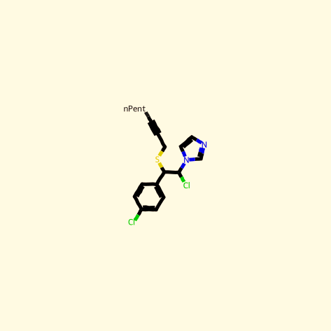 CCCCCC#CCSC(c1ccc(Cl)cc1)C(Cl)n1ccnc1